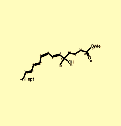 CCCCCCC/C=C/C=C/C=C\C=C\C(C)(O)CCCC(=O)OC